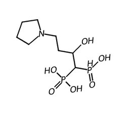 O=[PH](O)C(C(O)CCN1CCCC1)P(=O)(O)O